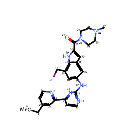 COCc1ccnc(-c2ccnc(Nc3cc(CI)c4[nH]c(C(=O)N5CCN(C)CC5)cc4c3)n2)c1